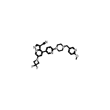 COc1ccc(CN2CCN(c3ccc(-c4cc(N5CC(F)(F)C5)cn5ncc(C#N)c45)cn3)CC2)cn1